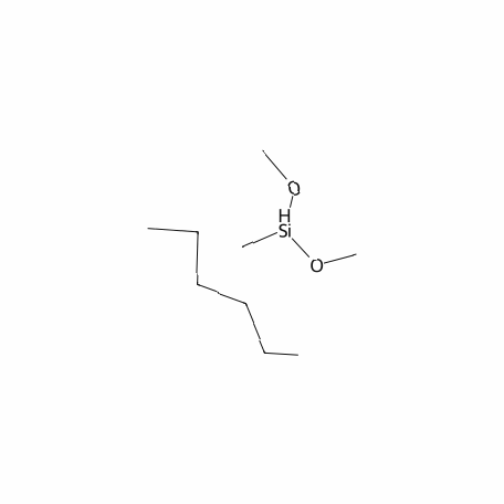 CCCCCC.CO[SiH](C)OC